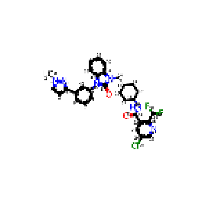 Cn1ccc(-c2cccc(-n3c(=O)n(C[C@H]4CC[C@H](NC(=O)c5cc(Cl)cnc5C(F)F)CC4)c4ccccc43)c2)n1